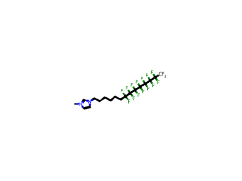 C[n+]1ccn(CCCCCCC(F)(F)C(F)(F)C(F)(F)C(F)(F)C(F)(F)C(F)(F)C(F)(F)C(F)(F)F)c1